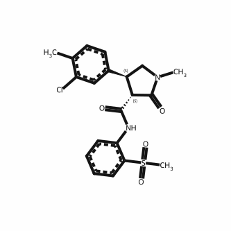 Cc1ccc([C@H]2CN(C)C(=O)[C@@H]2C(=O)Nc2ccccc2S(C)(=O)=O)cc1Cl